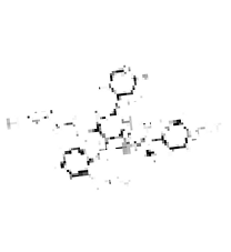 COc1ccccc1Oc1c(NS(=O)(=O)c2ccc(C(C)C)cn2)nc(-c2ccncc2)nc1OCCCN